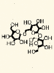 OCC1O[C@H](OCC2O[C@H](O[C@]3(CO)O[C@H](CO)[C@@H](O)[C@@H]3O)C(O)C(O)[C@@H]2O)C(O)C(O)[C@H]1O